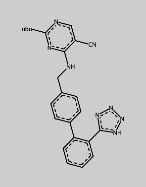 CCCCc1ncc(C#N)c(NCc2ccc(-c3ccccc3-c3nnn[nH]3)cc2)n1